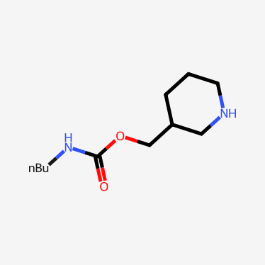 CCCCNC(=O)OCC1CCCNC1